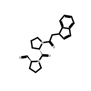 O=C[C@@H]1CCCN1C(=O)[C@@H]1CCCN1C(=O)CC1C=Cc2ccccc21